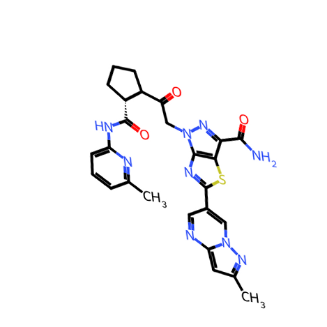 Cc1cccc(NC(=O)[C@@H]2CCCC2C(=O)Cn2nc(C(N)=O)c3sc(-c4cnc5cc(C)nn5c4)nc32)n1